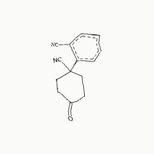 N#Cc1ccccc1C1(C#N)CCC(=O)CC1